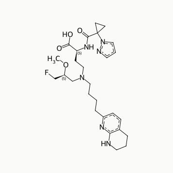 CO[C@H](CF)CN(CCCCc1ccc2c(n1)NCCC2)CC[C@H](NC(=O)C1(n2cccn2)CC1)C(=O)O